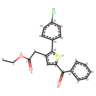 CCOC(=O)Cc1cc(C(=O)c2ccccc2)sc1-c1ccc(Cl)cc1